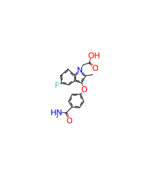 CNC(=O)c1ccc(Oc2c(C)n(CC(=O)O)c3ccc(F)cc23)cc1